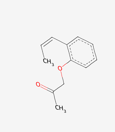 C/C=C\c1ccccc1OCC(C)=O